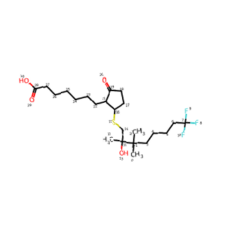 CC(C)(CCCCC(F)(F)F)C(C)(O)CSC1CCC(=O)C1CCCCCCC(=O)O